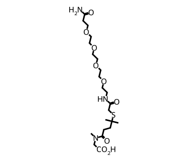 CN(CC(=O)O)C(=O)CCC(C)(C)SCC(=O)NCCOCCOCCOCCOCCC(N)=O